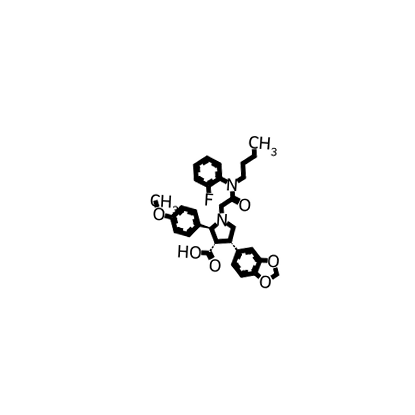 CCCCN(C(=O)CN1C[C@H](c2ccc3c(c2)OCO3)[C@H](C(=O)O)[C@H]1c1ccc(OC)cc1)c1ccccc1F